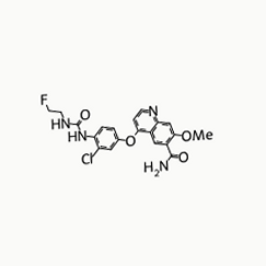 COc1cc2nccc(Oc3ccc(NC(=O)NCCF)c(Cl)c3)c2cc1C(N)=O